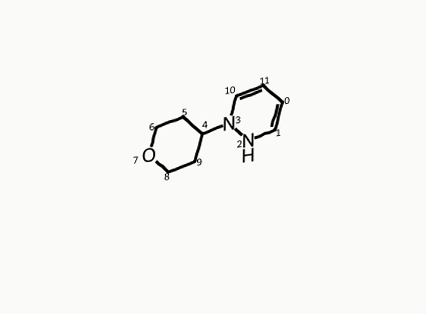 C1=CNN(C2CCOCC2)C=C1